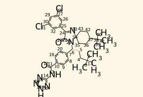 CC(C)(C)CC[C@H](c1ccc(C(=O)Nc2nn[nH]n2)cc1)N1C(=O)C(c2cc(Cl)cc(Cl)c2)=NC12CCC(C(C)(C)C)CC2